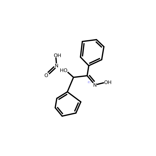 O/N=C(\c1ccccc1)C(O)c1ccccc1.O=NO